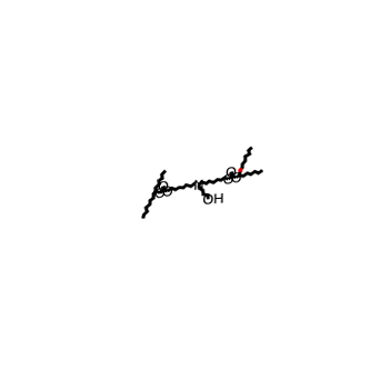 CCCCCCCCC(CCCCCC)OC(=O)OCCCCCCCN(CCCCO)CCCCCCCOC(=O)OC(CCCCCC)CCCCCCCC